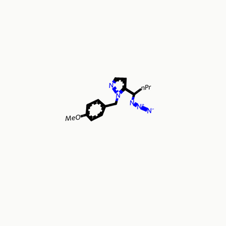 CCCC(N=[N+]=[N-])c1ccnn1Cc1ccc(OC)cc1